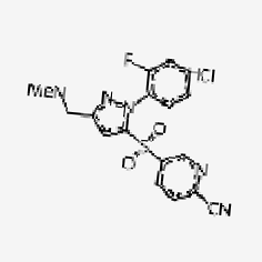 CNCc1cc(S(=O)(=O)c2ccc(C#N)nc2)n(-c2ccccc2F)n1.Cl